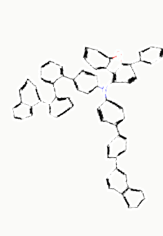 c1ccc(-c2ccc(N(c3ccc(-c4ccc(-c5ccc6ccccc6c5)cc4)cc3)c3ccc(-c4ccccc4-c4ccccc4-c4cccc5ccccc45)cc3)c3c2oc2ccccc23)cc1